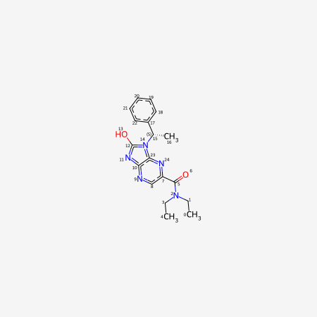 CCN(CC)C(=O)c1cnc2nc(O)n([C@@H](C)c3ccccc3)c2n1